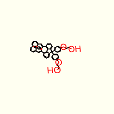 OCCOc1ccc(C2(c3ccc(OCCO)cc3)c3cccc(-c4ccc5ccccc5c4)c3-c3c(-c4ccc5ccccc5c4)cccc32)cc1